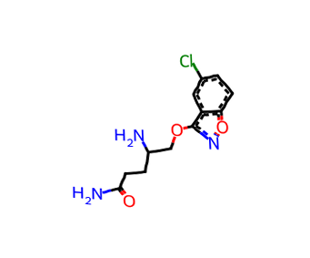 NC(=O)CCC(N)COc1noc2ccc(Cl)cc12